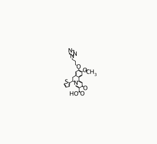 COc1cc2c(cc1OCCCn1cncn1)CC(c1cccs1)n1cc(C(=O)O)c(=O)cc1-2